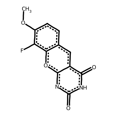 COc1ccc2cc3c(=O)[nH]c(=O)nc-3oc2c1F